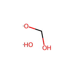 [OH].[O]CO